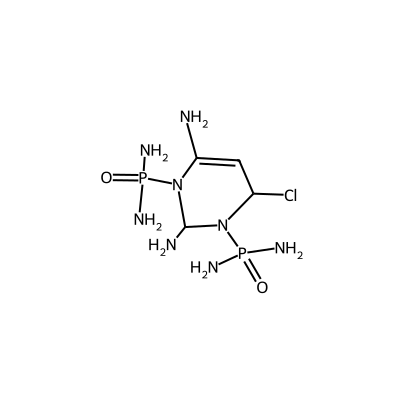 NC1=CC(Cl)N(P(N)(N)=O)C(N)N1P(N)(N)=O